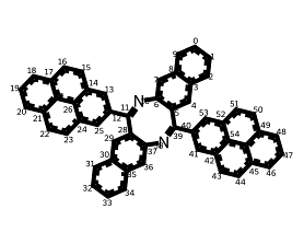 c1ccc2cc3c(cc2c1)/N=C(/c1cc2ccc4cccc5ccc(c1)c2c45)c1cc2ccccc2cc1/N=C\3c1cc2ccc3cccc4ccc(c1)c2c34